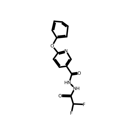 O=C(NNC(=O)C(F)F)c1ccc(Oc2ccccc2)nc1